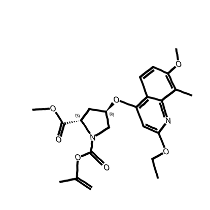 C=C(C)OC(=O)N1C[C@H](Oc2cc(OCC)nc3c(C)c(OC)ccc23)C[C@H]1C(=O)OC